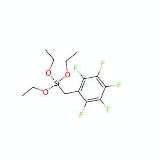 CCO[Si](Cc1c(F)c(F)c(F)c(F)c1F)(OCC)OCC